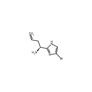 C=CC[C@H](N)c1nc(Br)c[nH]1